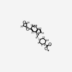 COC(=O)[C@H]1CC[C@H](Cn2ccc3ncc(OC4COC4)cc32)CC1